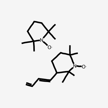 C=CC=CC1CCC(C)(C)N([O])C1(C)C.CC1(C)CCCC(C)(C)N1[O]